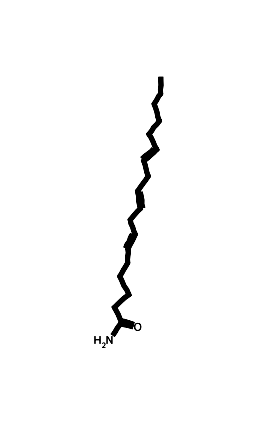 CCCCCC=CCC=CCC=CCCCCC(N)=O